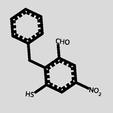 O=Cc1cc([N+](=O)[O-])cc(S)c1Cc1ccccc1